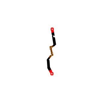 O=C=CSSC=C=O